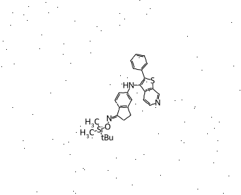 CC(C)(C)[Si](C)(C)ON=C1CCc2cc(Nc3c(-c4ccccc4)sc4cnccc34)ccc21